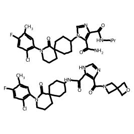 Cc1cc(N2CCCC3(CCC(NC(=O)c4[nH]cnc4C(=O)N4CC5(COC5)C4)CC3)C2=O)c(Cl)cc1F.Cc1cc(N2CCCC3(CCC(n4cnc(C(=O)NC(C)C)c4C(N)=O)CC3)C2=O)c(Cl)cc1F